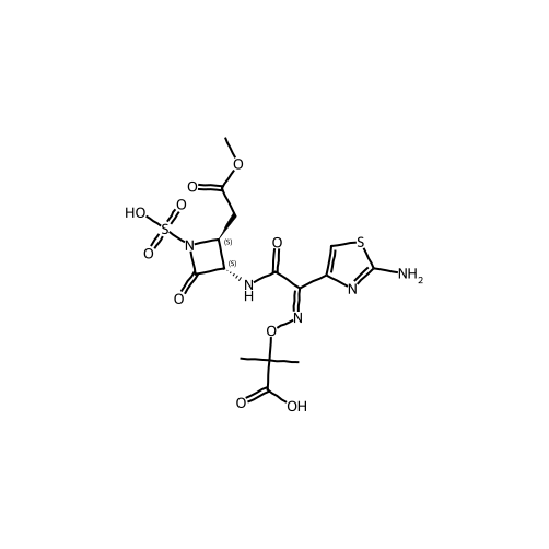 COC(=O)C[C@H]1[C@H](NC(=O)C(=NOC(C)(C)C(=O)O)c2csc(N)n2)C(=O)N1S(=O)(=O)O